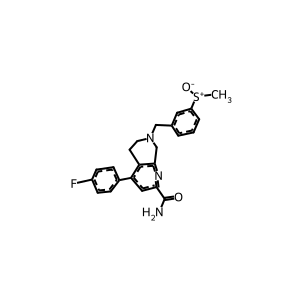 C[S+]([O-])c1cccc(CN2CCc3c(-c4ccc(F)cc4)cc(C(N)=O)nc3C2)c1